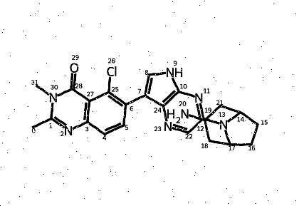 Cc1nc2ccc(-c3c[nH]c4nc(N5C6CCC5CC(N)C6)cnc34)c(Cl)c2c(=O)n1C